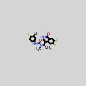 CCc1cc(NC(=O)N(C)[C@@H](C)c2c[nH]c(=O)c3cc(F)c(F)cc23)ccc1F